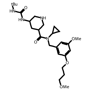 COCCCOc1cc(CN(C(=O)C2CNCC(NC(=O)NC(C)(C)C)C2)C2CC2)cc(OC)c1